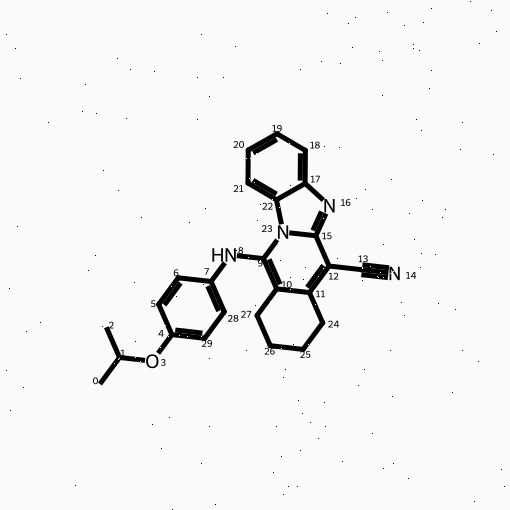 CC(C)Oc1ccc(Nc2c3c(c(C#N)c4nc5ccccc5n24)CCCC3)cc1